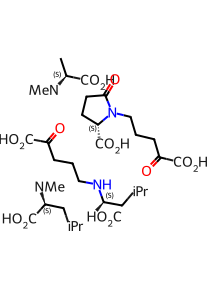 CC(C)C[C@H](NCCCC(=O)C(=O)O)C(=O)O.CN[C@@H](C)C(=O)O.CN[C@@H](CC(C)C)C(=O)O.O=C(O)C(=O)CCCN1C(=O)CC[C@H]1C(=O)O